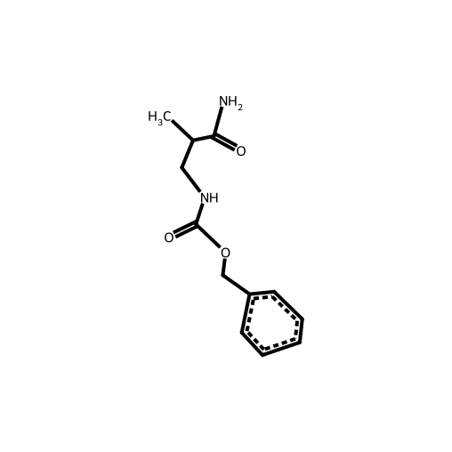 CC(CNC(=O)OCc1ccccc1)C(N)=O